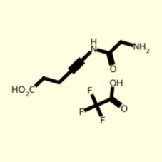 NCC(=O)NC#CCCC(=O)O.O=C(O)C(F)(F)F